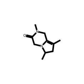 CC1=C2CN(C)C(=O)CN2C(C)C1